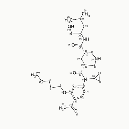 COCCCOc1cc(N(C(=O)[C@H]2CNC[C@@H](C(=O)NC(CO)CC(C)C)C2)C2CC2)ccc1C(C)=O